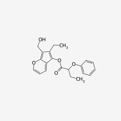 CCc1c(CO)c2occcc-2c1OC(=O)C(CC)Oc1ccccc1